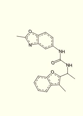 Cc1nc2cc(NC(=O)NC(C)c3oc4ccccc4c3C)ccc2o1